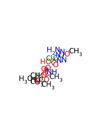 CCOc1nc(N)nc2c1ncn2[C@@H]1O[C@H](CO[P@](=O)(N[C@H](C)C(=O)OC(C)C)OCCSC(=O)C(C)(C)C)[C@@H](O)C1(Cl)Cl